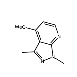 COc1[c]cnc2c1c(C)nn2C